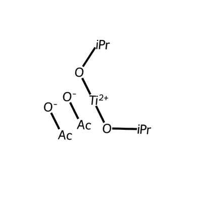 CC(=O)[O-].CC(=O)[O-].CC(C)[O][Ti+2][O]C(C)C